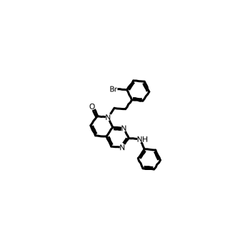 O=c1ccc2cnc(Nc3ccccc3)nc2n1CCc1ccccc1Br